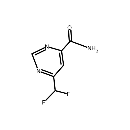 NC(=O)c1cc(C(F)F)ncn1